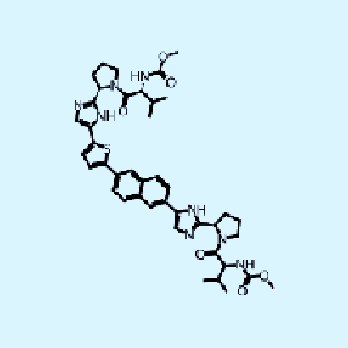 COC(=O)NC(C(=O)N1CCC[C@@H]1c1ncc(-c2ccc3cc(-c4ccc(-c5cnc([C@H]6CCCN6C(=O)[C@H](NC(=O)OC)C(C)C)[nH]5)s4)ccc3c2)[nH]1)C(C)C